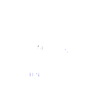 CCN(CC)CCN.[Ag]